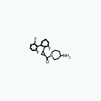 NC1CCCN(C(=O)C2CC2c2c(F)cccc2-c2c(F)cccc2F)CC1